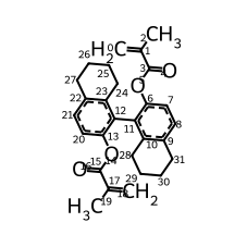 C=C(C)C(=O)Oc1ccc2c(c1-c1c(OC(=O)C(=C)C)ccc3c1CCCC3)CCCC2